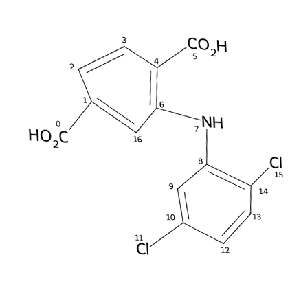 O=C(O)c1ccc(C(=O)O)c(Nc2cc(Cl)ccc2Cl)c1